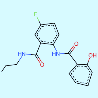 CCCNC(=O)c1cc(F)ccc1NC(=O)c1ccccc1O